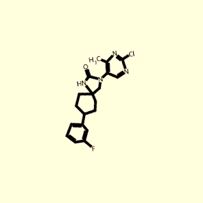 Cc1nc(Cl)ncc1N1CC2(CCC(c3cccc(F)c3)CC2)NC1=O